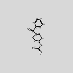 O=C(Cl)OC1CCN(C(=O)c2ccccc2)CC1